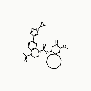 COC1CC2(CCCCCCCCC2)C(OC(=O)N2C[C@H](C)N(C(C)=O)c3ccc(-c4cnn(C5CC5)c4)cc32)CN1